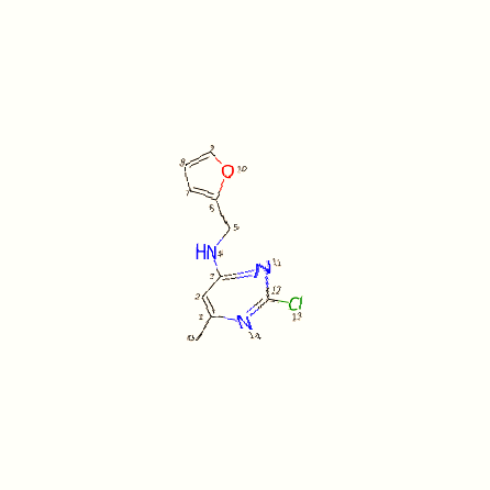 Cc1cc(NCc2ccco2)nc(Cl)n1